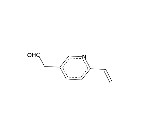 C=Cc1ccc(CC=O)cn1